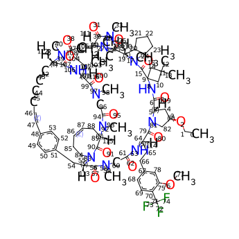 CCO[C@@H]1C[C@H]2C(=O)NC3(CC(C)(C)C3)C(=O)N(C)[C@@H](C3CCCC3)C(=O)N(C)[C@H](C(=O)N(C)CC)CC(=O)N(C)[C@H]3CCCC/C=C\c4ccc(cc4)C[C@@H](C(=O)N(C)CC(=O)N[C@@H](CCc4ccc(C(F)(F)F)c(OC)c4)C(=O)N2C1)N1CC/C=C\C[C@@H](C1=O)N(C)C(=O)CN(C)C(=O)[C@H]([C@@H](C)CC)NC3=O